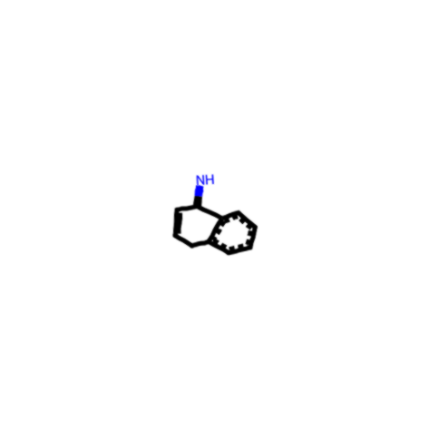 N=C1C=CCc2ccccc21